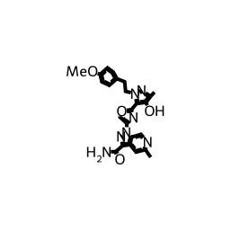 COc1ccc(CCn2nc(C)c(O)c2-c2nc(-n3nc(C(N)=O)c4cc(C)ncc43)co2)cc1